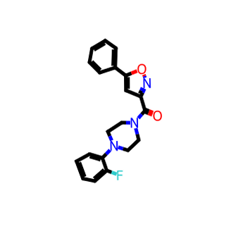 O=C(c1cc(-c2ccccc2)on1)N1CCN(c2ccccc2F)CC1